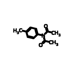 CC(=O)N(C(C)=O)c1ccc(C)cc1